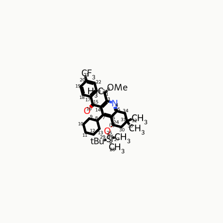 COC(C)c1nc2c(c(C3CCCCC3)c1C(=O)c1ccc(C(F)(F)F)cc1)[C@@H](O[Si](C)(C)C(C)(C)C)CC(C)(C)C2